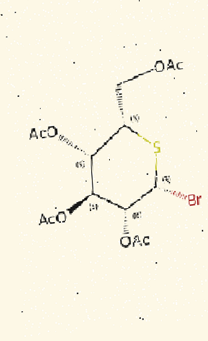 CC(=O)OC[C@@H]1S[C@H](Br)[C@H](OC(C)=O)[C@@H](OC(C)=O)[C@@H]1OC(C)=O